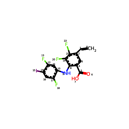 C=Cc1cc(C(=O)O)c(Nc2cc(F)c(I)cc2F)c(F)c1F